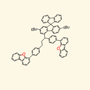 CC(C)(C)c1ccc2c(c1)C1(c3ccccc3-c3ccccc31)c1cc(C(C)(C)C)cc(C(CCc3ccc(-c4cccc5c4oc4ccccc45)cc3)c3ccc(-c4cccc5c4oc4ccccc45)cc3)c1-2